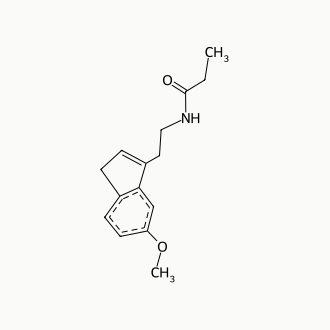 CCC(=O)NCCC1=CCc2ccc(OC)cc21